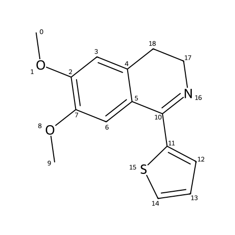 COc1cc2c(cc1OC)C(c1cccs1)=NCC2